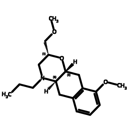 CCCN1C[C@H](COC)O[C@@H]2Cc3c(cccc3OC)C[C@H]21